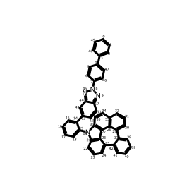 c1ccc(-c2ccc(-n3nc4ccc(-c5ccccc5-n5c6cccc7c6c6c8c(cccc8ccc65)-c5ccccc5-7)cc4n3)cc2)cc1